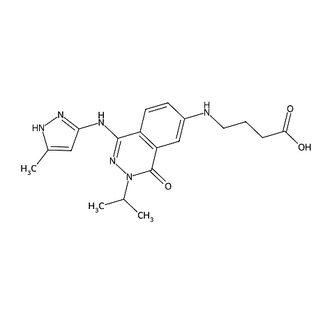 Cc1cc(Nc2nn(C(C)C)c(=O)c3cc(NCCCC(=O)O)ccc23)n[nH]1